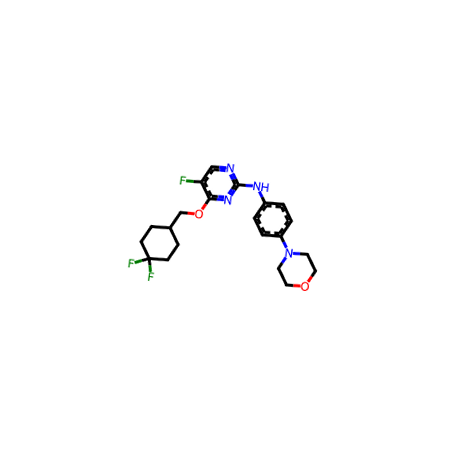 Fc1cnc(Nc2ccc(N3CCOCC3)cc2)nc1OCC1CCC(F)(F)CC1